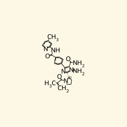 C=C(C)C(=O)N1CCC[C@H]1c1nc(-c2ccc(C(=O)Nc3cc(C)ccn3)cc2)c(C(N)=O)n1N